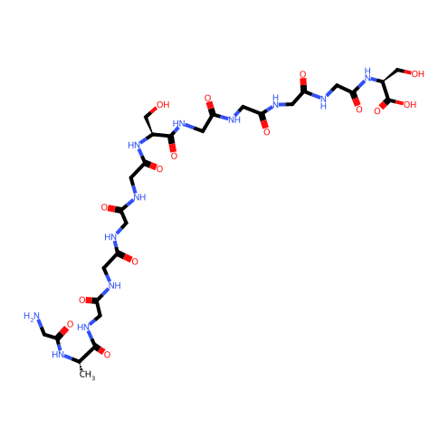 C[C@H](NC(=O)CN)C(=O)NCC(=O)NCC(=O)NCC(=O)NCC(=O)N[C@@H](CO)C(=O)NCC(=O)NCC(=O)NCC(=O)NCC(=O)N[C@@H](CO)C(=O)O